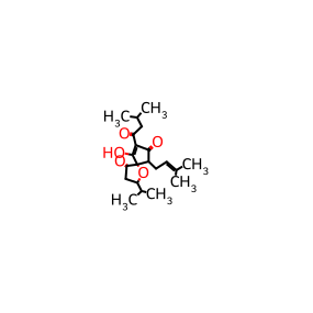 CC(C)=CCC1C(=O)C(C(=O)CC(C)C)=C(O)C12OC(C(C)C)CC2=O